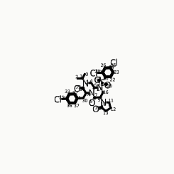 CC(C)N1CC2N(C(=O)C(N3CCCC3=O)CN2S(=O)(=O)c2ccc(Cl)cc2Cl)C(Cc2ccc(Cl)cc2)C1=O